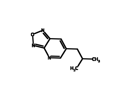 CC(C)Cc1cnc2nonc2c1